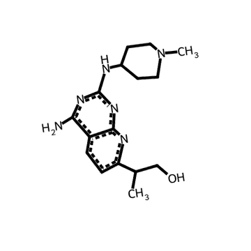 CC(CO)c1ccc2c(N)nc(NC3CCN(C)CC3)nc2n1